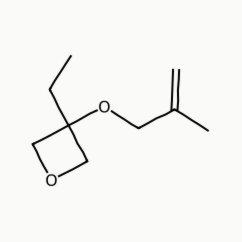 C=C(C)COC1(CC)COC1